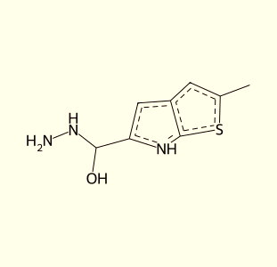 Cc1cc2cc(C(O)NN)[nH]c2s1